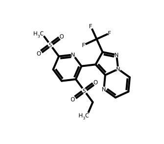 CCS(=O)(=O)c1ccc(S(C)(=O)=O)nc1-c1c(C(F)(F)F)nn2cccnc12